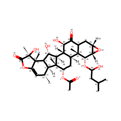 CC(=O)O[C@H]1C[C@H]2[C@H]([C@@H]3[C@@H](O)C4[C@H]([C@H](C)C=C5OC(=O)[C@@](C)(O)[C@@]54C)[C@]31C)[C@@H](O)C(=O)C1C[C@@H]3O[C@@H]3[C@H](OC(O)CC(C)C)[C@@]12C